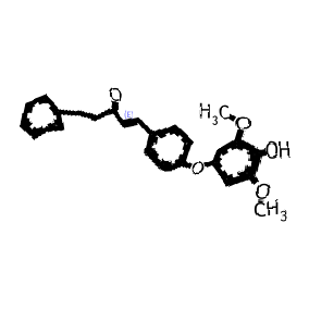 COc1cc(Oc2ccc(/C=C/C(=O)CCc3ccccc3)cc2)cc(OC)c1O